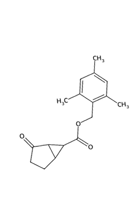 Cc1cc(C)c(COC(=O)C2C3CCC(=O)C32)c(C)c1